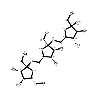 OC[C@H]1O[C@@](CO)(OC[C@H]2O[C@@](CO)(OC[C@H]3O[C@](O)(CO)[C@@H](O)[C@@H]3O)[C@@H](O)[C@@H]2O)[C@@H](O)[C@@H]1O